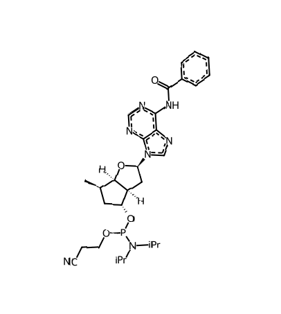 CC(C)N(C(C)C)P(OCCC#N)O[C@@H]1C[C@@H](C)[C@H]2O[C@@H](n3cnc4c(NC(=O)c5ccccc5)ncnc43)C[C@H]21